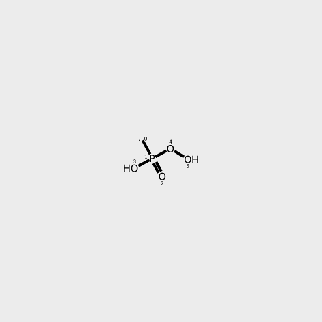 [CH2]P(=O)(O)OO